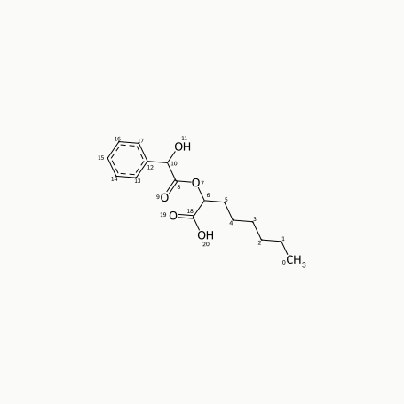 CCCCCCC(OC(=O)C(O)c1ccccc1)C(=O)O